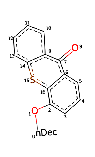 CCCCCCCCCCOc1cccc2c(=O)c3ccccc3sc12